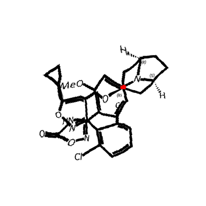 COc1cc(N2[C@@H]3CC[C@H]2C[C@@H](OCc2c(-c4c(Cl)cccc4Cl)noc2C2CC2)C3)ccc1-c1noc(=O)[nH]1